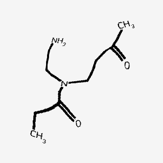 CCC(=O)N(CN)CCC(C)=O